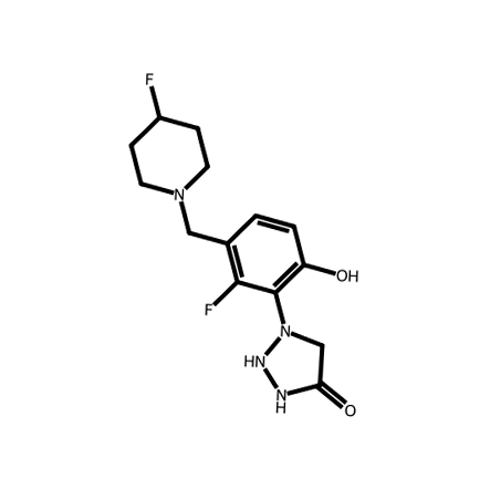 O=C1CN(c2c(O)ccc(CN3CCC(F)CC3)c2F)NN1